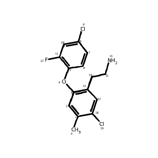 Cc1cc(Oc2ccc(Cl)cc2F)c(CCN)cc1Cl